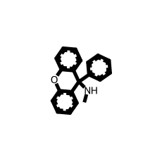 CNC1(c2ccccc2)c2ccccc2Oc2ccccc21